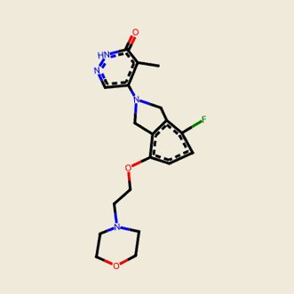 Cc1c(N2Cc3c(F)ccc(OCCN4CCOCC4)c3C2)cn[nH]c1=O